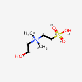 C[N+](C)(CCO)CCS(=O)(=O)O